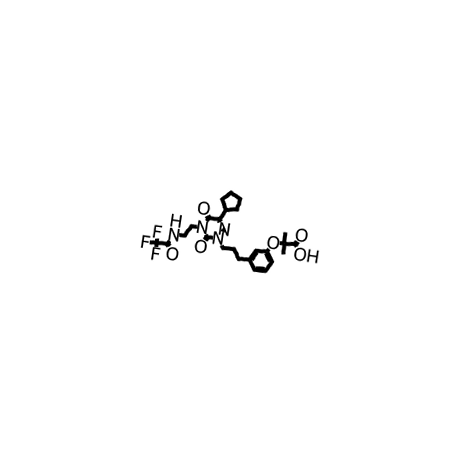 CC(C)(Oc1cccc(CCCn2nc(C3CCCC3)c(=O)n(CCNC(=O)C(F)(F)F)c2=O)c1)C(=O)O